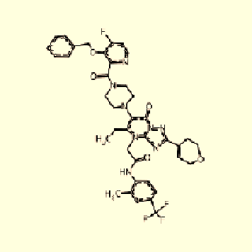 CCc1c(N2CCN(C(=O)c3nccc(F)c3OCc3ccccc3)CC2)c(=O)n2nc(C3=CCOCC3)nc2n1CC(=O)Nc1ccc(C(F)(F)F)cc1C